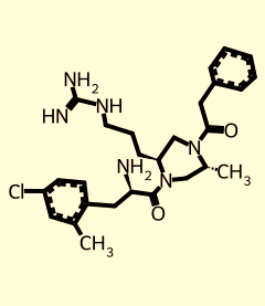 Cc1cc(Cl)ccc1C[C@@H](N)C(=O)N1C[C@@H](C)N(C(=O)Cc2ccccc2)C[C@@H]1CCCNC(=N)N